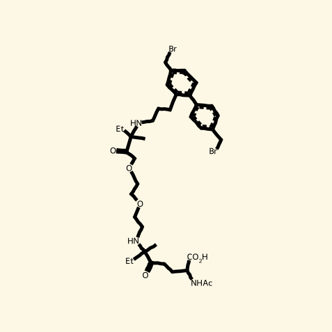 CCC(C)(NCCOCCOCC(=O)C(C)(CC)NCCCc1cc(CBr)ccc1-c1ccc(CBr)cc1)C(=O)CCC(NC(C)=O)C(=O)O